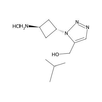 C[C](C)C.Cl.N[C@H]1C[C@H](n2nncc2CO)C1